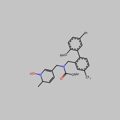 COC(=O)N(CC1=CN(O)C(C)C=C1)Cc1cc(C(F)(F)F)ccc1-c1cc(C(C)C)ccc1OC